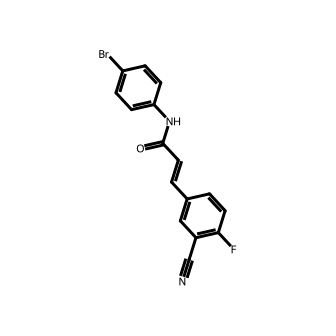 N#Cc1cc(C=CC(=O)Nc2ccc(Br)cc2)ccc1F